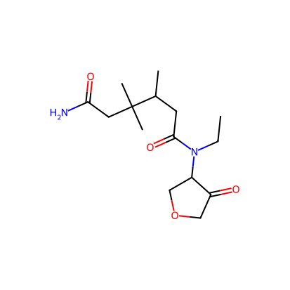 CCN(C(=O)CC(C)C(C)(C)CC(N)=O)C1COCC1=O